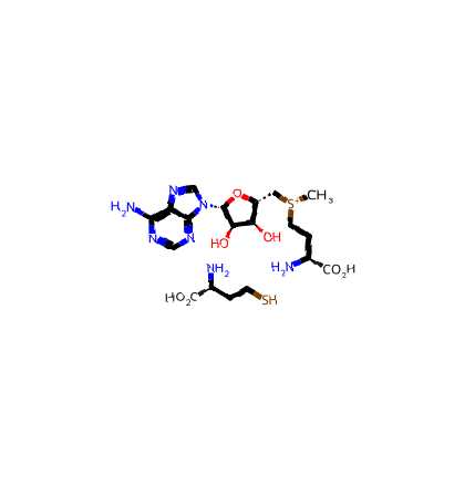 C[S+](CC[C@H](N)C(=O)O)C[C@H]1O[C@@H](n2cnc3c(N)ncnc32)[C@H](O)[C@@H]1O.N[C@@H](CCS)C(=O)O